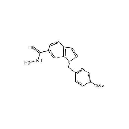 COc1ccc(Cn2ccc3ccc(C(=N)NO)cc32)cc1